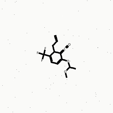 C=CCC1C(=C=O)C(OC(C)OC)=CC=C1C(F)(F)F